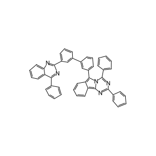 c1ccc(-c2nc(-c3ccccc3)n3c(-c4cccc(-c5cccc(-c6nc(-c7ccccc7)c7ccccc7n6)c5)c4)c4ccccc4c3n2)cc1